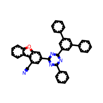 N#Cc1cc(-c2nc(-c3ccccc3)nc(-c3cc(-c4ccccc4)cc(-c4ccccc4)c3)n2)cc2oc3ccccc3c12